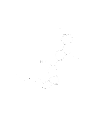 CCOc1cc(C(=O)N(C)Cc2ccc(F)c3cnn(COCC[Si](C)(C)C)c23)ccc1-c1cccc(F)c1